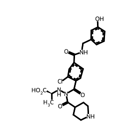 C[C@H](NN(C(=O)c1ccc(C(=O)NCc2cccc(O)c2)cc1Cl)C(=O)C1CCNCC1)C(=O)O